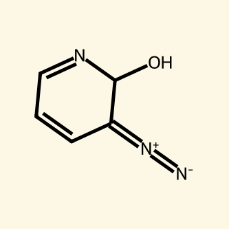 [N-]=[N+]=C1C=CC=NC1O